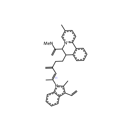 C=Cc1c(C)n(/C(C)=C/C(=C)CCC2c3ccccc3-c3ccc(C)c[n+]3C2C(=C)NC)c2ccccc12